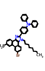 Bc1ccc2c(c1)c1cc(Br)ccc1c1c2nc(-c2ccc(N(c3ccccc3)c3ccccc3)cc2)n1CCCCCCCC